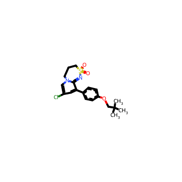 CC(C)(C)COc1ccc(C2=CC(Cl)=CN3CCCS(=O)(=O)N=C23)cc1